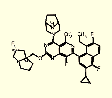 CCc1c(F)ccc2c(F)c(C3CC3)cc(-c3nc(C)c4c(N5CC6CCC(C5)N6)nc(OC[C@@]56CCCN5C[C@H](F)C6)nc4c3F)c12